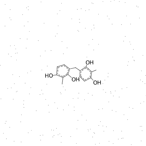 Cc1c(O)ccc(Cc2ccc(O)c(C)c2O)c1O